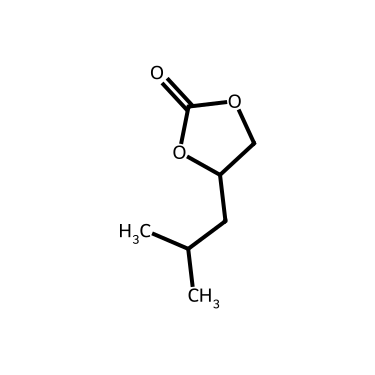 CC(C)CC1COC(=O)O1